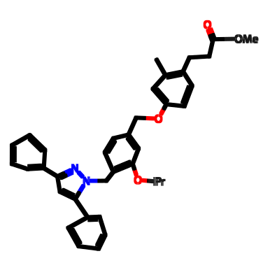 COC(=O)CCc1ccc(OCc2ccc(Cn3nc(-c4ccccc4)cc3-c3ccccc3)c(OC(C)C)c2)cc1C